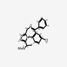 CNC(C)c1nnc2n1-c1ccc(Cl)cc1C(c1ccccc1)=NC2